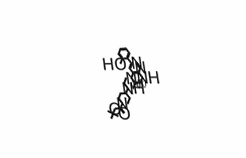 C[C@H]1Nc2nnc(-c3ccccc3O)cc2N2CCN(C3CCN(C(=O)OC(C)(C)C)CC3)C[C@H]12